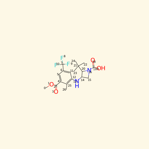 COC(=O)c1cc(C(F)(F)F)cc(NC2CN(C(=O)O)C2C(C)(C)C)c1C